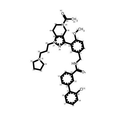 COc1ccc(CNC(=O)c2cccc(-c3ccccc3Cl)c2)cc1-c1nn(CCCN2CCCC2)c2c1CN(C(C)=O)CC2